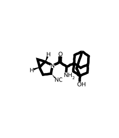 [C-]#[N+][C@@H]1C[C@@H]2C[C@@H]2N1C(=O)C(N)C12CC3CC(CC(O)(C3)C1)C2